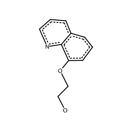 [O]CCOc1cccc2cccnc12